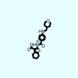 O=C(Nc1sc2c(c1C(=O)O)CCCC2)c1ccc(NCC2CCOCC2)cc1